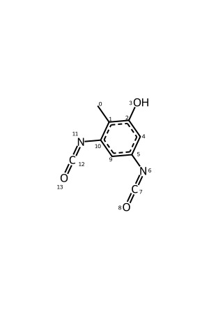 Cc1c(O)cc(N=C=O)cc1N=C=O